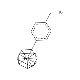 BrCc1ccc([C]23[CH]4[CH]5[CH]6[CH]2[Fe]56432789[CH]3[CH]2[CH]7[CH]8[CH]39)cc1